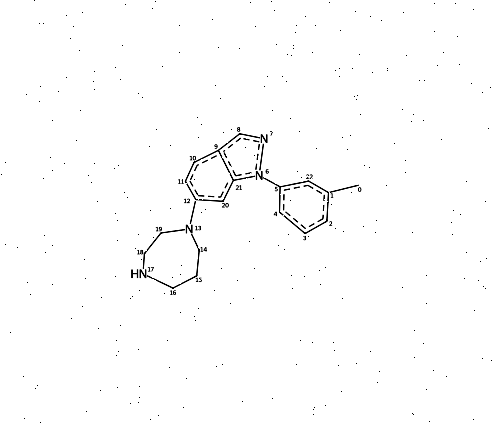 Cc1cccc(-n2ncc3ccc(N4CCCNCC4)cc32)c1